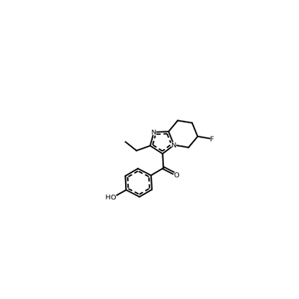 CCc1nc2n(c1C(=O)c1ccc(O)cc1)CC(F)CC2